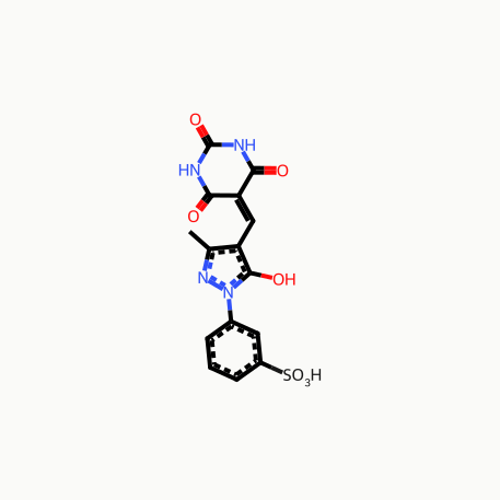 Cc1nn(-c2cccc(S(=O)(=O)O)c2)c(O)c1C=C1C(=O)NC(=O)NC1=O